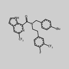 CC(C)(C)c1ccc(CN(CCc2ccc(F)c(C(F)(F)F)c2)C(=O)c2nc(C(F)(F)F)cc3cc[nH]c23)cc1